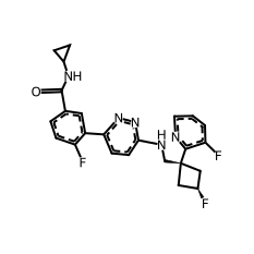 O=C(NC1CC1)c1ccc(F)c(-c2ccc(NC[C@]3(c4ncccc4F)C[C@H](F)C3)nn2)c1